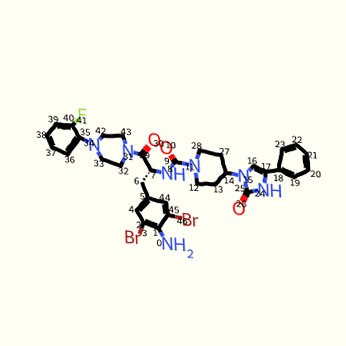 Nc1c(Br)cc(C[C@@H](NC(=O)N2CCC(n3cc(-c4ccccc4)[nH]c3=O)CC2)C(=O)N2CCN(c3ccccc3F)CC2)cc1Br